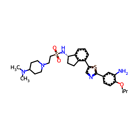 CC(C)Oc1ccc(-c2ncc(-c3cccc4c3CC[C@@H]4NS(=O)(=O)CCN3CCC(N(C)C)CC3)s2)cc1N